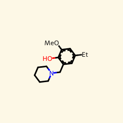 CCc1cc(CN2CCCCC2)c(O)c(OC)c1